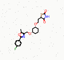 Cc1oc(-c2ccc(F)cc2)nc1CO[C@H]1CCC[C@@H](OCCC2SC(=O)NC2=O)C1